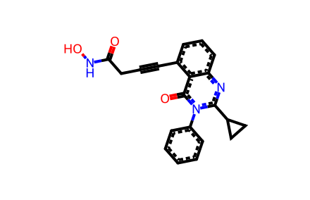 O=C(CC#Cc1cccc2nc(C3CC3)n(-c3ccccc3)c(=O)c12)NO